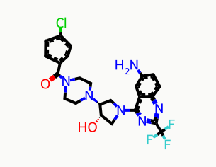 Nc1ccc2nc(C(F)(F)F)nc(N3C[C@H](O)[C@@H](N4CCN(C(=O)c5ccc(Cl)cc5)CC4)C3)c2c1